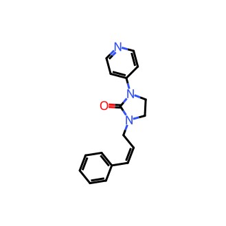 O=C1N(C/C=C\c2ccccc2)CCN1c1ccncc1